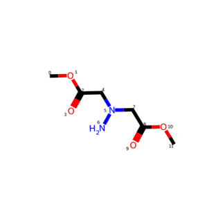 COC(=O)CN(N)CC(=O)OC